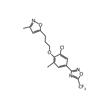 Cc1cc(CCCOc2c(C)cc(-c3noc(C(F)(F)F)n3)cc2Cl)on1